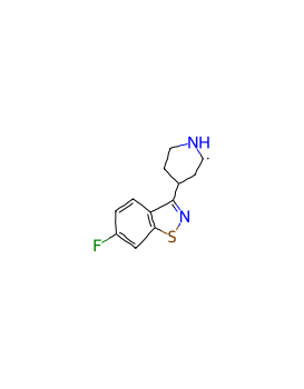 Fc1ccc2c(C3C[CH]NCC3)nsc2c1